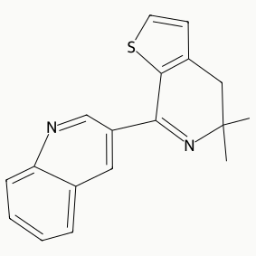 CC1(C)Cc2ccsc2C(c2cnc3ccccc3c2)=N1